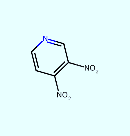 O=[N+]([O-])c1ccncc1[N+](=O)[O-]